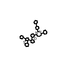 C1=C(c2cccc3c2oc2cccc(-c4ccc(-c5ccccc5)c5sc6ccccc6c45)c23)/N=C(c2ccc(-c3ccccc3)cc2)\N=C(\c2ccccc2)CC\1